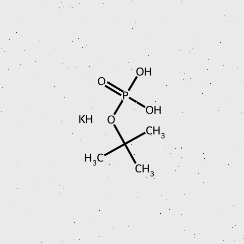 CC(C)(C)OP(=O)(O)O.[KH]